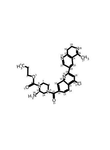 CCCOC(=O)N1CCN(C(=O)c2ccc3c(Cl)cc(-c4cnc5c(c4)C(C)=NCC5)nc3c2)C[C@H]1N